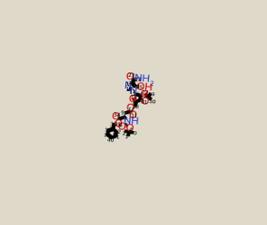 CC(C)(C)OC(=O)N[C@@H](CC(=O)OCC1OC(n2cnc(C(N)=O)c2O)C2OC(C)(C)OC12)C(=O)OCc1ccccc1